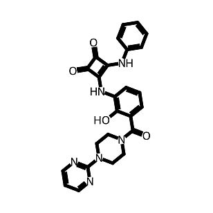 O=C(c1cccc(Nc2c(Nc3ccccc3)c(=O)c2=O)c1O)N1CCN(c2ncccn2)CC1